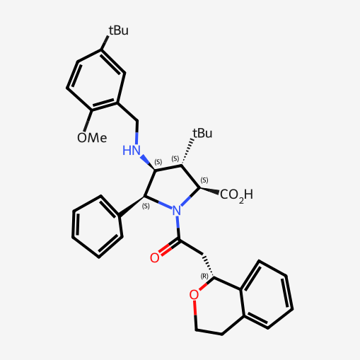 COc1ccc(C(C)(C)C)cc1CN[C@H]1[C@H](C(C)(C)C)[C@@H](C(=O)O)N(C(=O)C[C@H]2OCCc3ccccc32)[C@H]1c1ccccc1